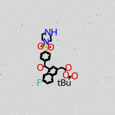 CC(C)(C)C(=O)OC(=O)Cc1cc(C(=O)c2ccc(S(=O)(=O)N3CCNCC3)cc2)c2cc(F)ccc2c1